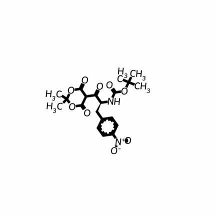 CC(C)(C)OC(=O)N[C@@H](Cc1ccc([N+](=O)[O-])cc1)C(=O)C1C(=O)OC(C)(C)OC1=O